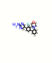 Nc1ncc(-c2ccc(-c3ccccc3N3CCOCC3)cc2F)cn1